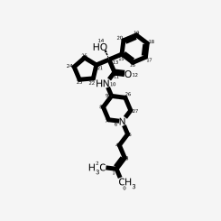 CC(C)=CCCN1CCC(NC(=O)[C@](O)(c2ccccc2)C2CCCC2)CC1